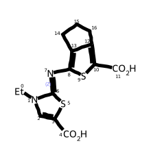 CCn1cc(C(=O)O)s/c1=N\c1sc(C(=O)O)c2c1CCC2